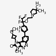 COC1CC(n2c(=O)n(C)c3nnc4ccc(-c5ccc(C(F)(OCCN6CCC(C)(C)C6)C(F)F)nc5)cc4c32)C1